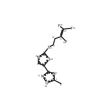 Cc1nc(-c2cnc(SCCC(F)=C(F)F)s2)no1